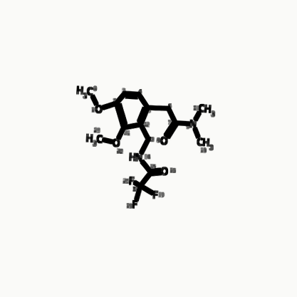 COc1ccc(CC(=O)N(C)C)c(CNC(=O)C(F)(F)F)c1OC